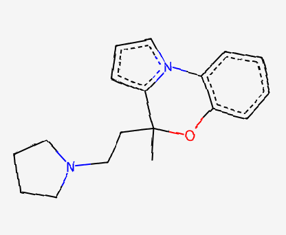 CC1(CCN2CCCC2)Oc2ccccc2-n2cccc21